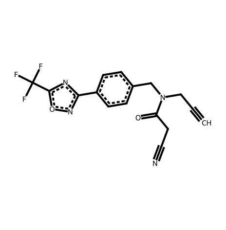 C#CCN(Cc1ccc(-c2noc(C(F)(F)F)n2)cc1)C(=O)CC#N